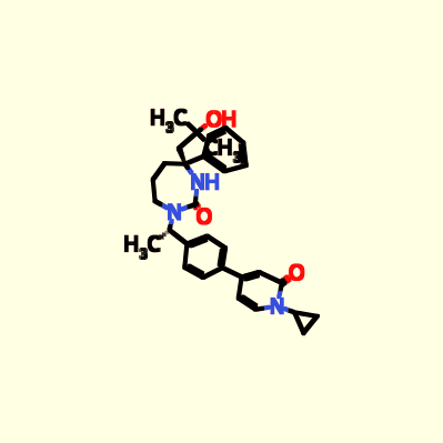 C[C@@H](c1ccc(-c2ccn(C3CC3)c(=O)c2)cc1)N1CCC[C@](CC(C)(C)O)(c2ccccc2)NC1=O